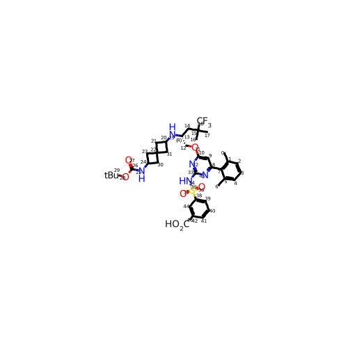 Cc1cccc(C)c1-c1cc(OC[C@@H](CC(C)(C)C(F)(F)F)NC2CC3(CC(NC(=O)OC(C)(C)C)C3)C2)nc(NS(=O)(=O)c2cccc(C(=O)O)c2)n1